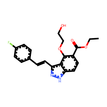 CCOC(=O)c1ccc2[nH]nc(C=Cc3ccc(F)cc3)c2c1OCCO